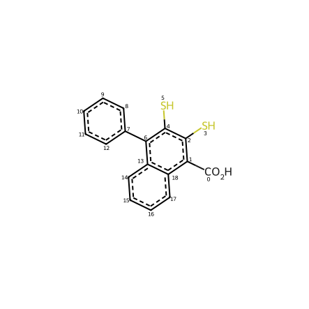 O=C(O)c1c(S)c(S)c(-c2ccccc2)c2ccccc12